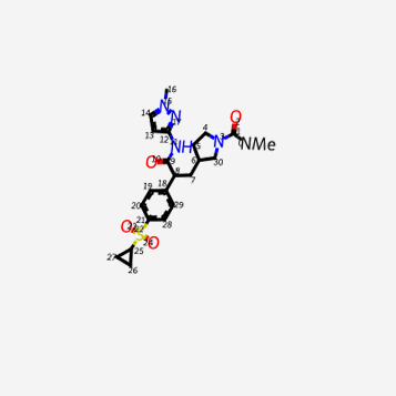 CNC(=O)N1CCC(CC(C(=O)Nc2ccn(C)n2)c2ccc(S(=O)(=O)C3CC3)cc2)C1